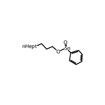 CCCCCCCCCC[O][Sn](=[O])[c]1ccccc1